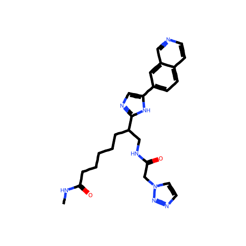 CNC(=O)CCCCCC(CNC(=O)Cn1ccnn1)c1ncc(-c2ccc3ccncc3c2)[nH]1